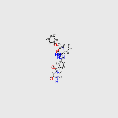 O=C1CN(C(=O)c2cccc(-c3n[nH]c(C4CCCCN4C(=O)COc4ccccc4)n3)c2)CCN1